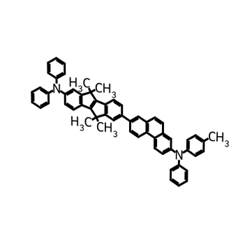 Cc1ccc(N(c2ccccc2)c2ccc3c(ccc4cc(-c5ccc6c(c5)C(C)(C)C5=C6C(C)(C)c6cc(N(c7ccccc7)c7ccccc7)ccc65)ccc43)c2)cc1